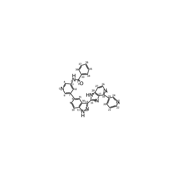 O=C(Nc1cncc(-c2ccc3[nH]nc(-c4nc5c(-c6cccnc6)nccc5[nH]4)c3c2)c1)c1ccccc1